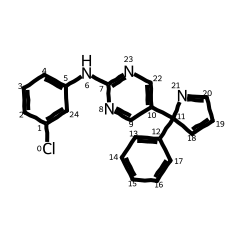 Clc1cccc(Nc2ncc(C3(c4ccccc4)C=CC=N3)cn2)c1